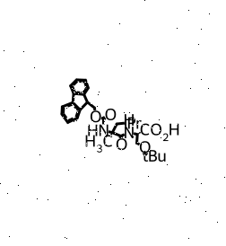 CC(C)C[C@](C)(NC(=O)OCC1c2ccccc2-c2ccccc21)C(=O)N[C@@H](COC(C)(C)C)C(=O)O